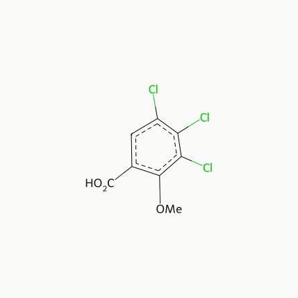 COc1c(C(=O)O)cc(Cl)c(Cl)c1Cl